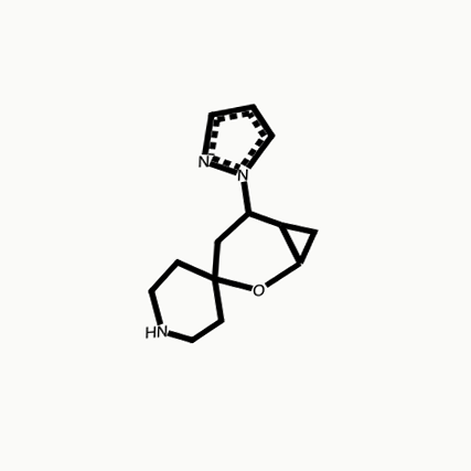 c1cnn(C2CC3(CCNCC3)OC3CC32)c1